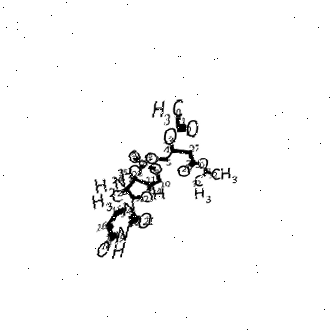 CC(=O)O[C@H](CO[P@]1(=O)OC[C@H]2O[C@@H](n3ccc(=O)[nH]c3=O)[C@](C)(N)[C@@H]2O1)CC(=O)OC(C)C